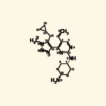 C=Cc1cnc(N[C@H]2CC[C@H](N)CC2)nc1-c1nnn(C)c1CC1CC1